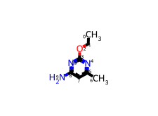 CCOc1nc(C)cc(N)n1